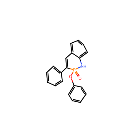 O=P1(Oc2ccccc2)Nc2ccccc2C=C1c1ccccc1